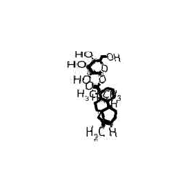 C=C1C[C@@]23CC[C@H]4[C@@](C)(CCC[C@@]4(C)C(=O)O[C@@H]4OC(CO)[C@@H](O)C(O)[C@@H]4O)[C@@H]2CC[C@H]1C3